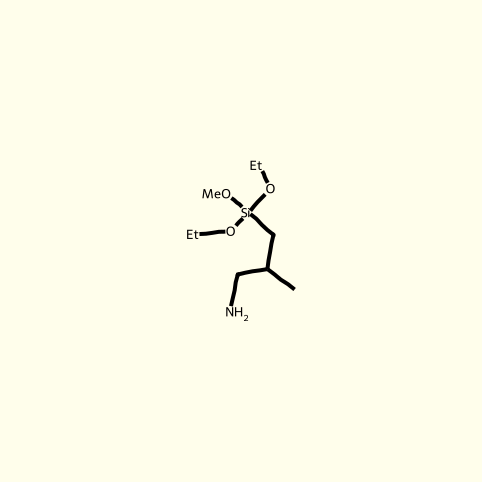 CCO[Si](CC(C)CN)(OC)OCC